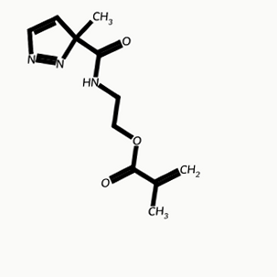 C=C(C)C(=O)OCCNC(=O)C1(C)C=CN=N1